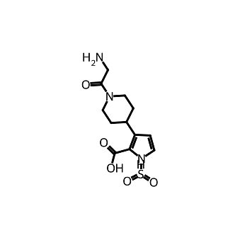 NCC(=O)N1CCC(c2ccn([SH](=O)=O)c2C(=O)O)CC1